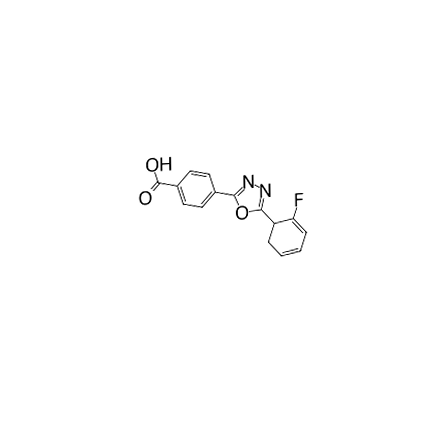 O=C(O)c1ccc(-c2nnc(C3CC=CC=C3F)o2)cc1